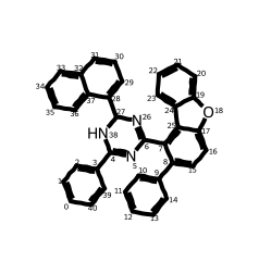 c1ccc(C2=NC(c3c(-c4ccccc4)ccc4oc5ccccc5c34)=NC(c3cccc4ccccc34)N2)cc1